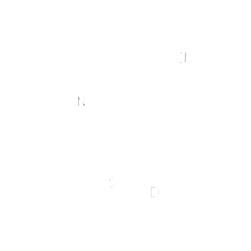 CCc1cc(C2c3cc(Cl)ccc3CN2C)cs1